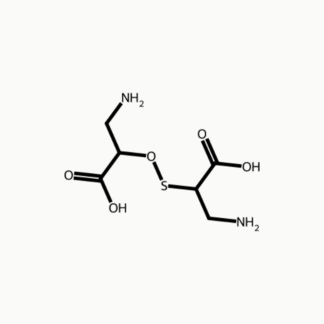 NCC(OSC(CN)C(=O)O)C(=O)O